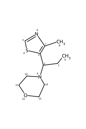 CCC(c1scnc1C)N1CCOCC1